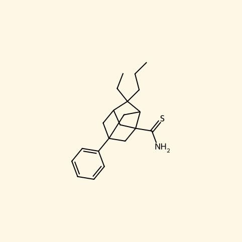 CCCC1(CC)C2CC3(c4ccccc4)CC1C(C(N)=S)(C2)C3